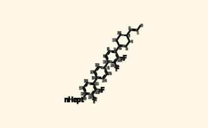 C/C=C/C1CC=C(c2ccc(-c3ccc(-c4ccc(CCCCCCC)c(F)c4F)cc3)c(F)c2F)CC1